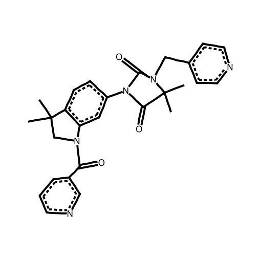 CC1(C)CN(C(=O)c2cccnc2)c2cc(N3C(=O)N(Cc4ccncc4)C(C)(C)C3=O)ccc21